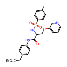 CCOC(=O)Cc1ccc(NC(=O)C(COc2cccnc2)NS(=O)(=O)c2ccc(F)cc2)cc1